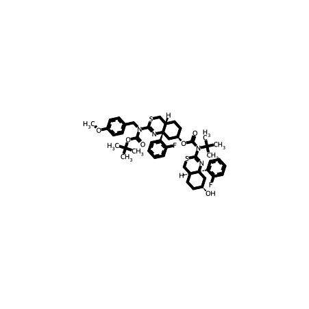 COc1ccc(CN(C(=O)OC(C)(C)C)C2=N[C@@]3(c4ccccc4F)C[C@H](OC(=O)N(C4=N[C@@]5(c6ccccc6F)C[C@H](O)CC[C@H]5CS4)C(C)(C)C)CC[C@H]3CS2)cc1